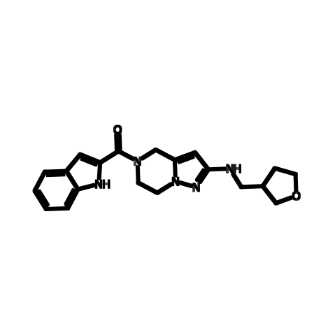 O=C(c1cc2ccccc2[nH]1)N1CCn2nc(NCC3CCOC3)cc2C1